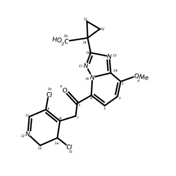 COc1ccc(C(=O)CC2=C(Cl)C=NCC2Cl)n2nc(C3(C(=O)O)CC3)nc12